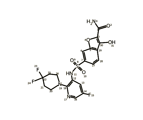 NC(=O)c1oc2cc(S(=O)(=O)Nc3cc(F)cnc3N3CCC(F)(F)CC3)ccc2c1O